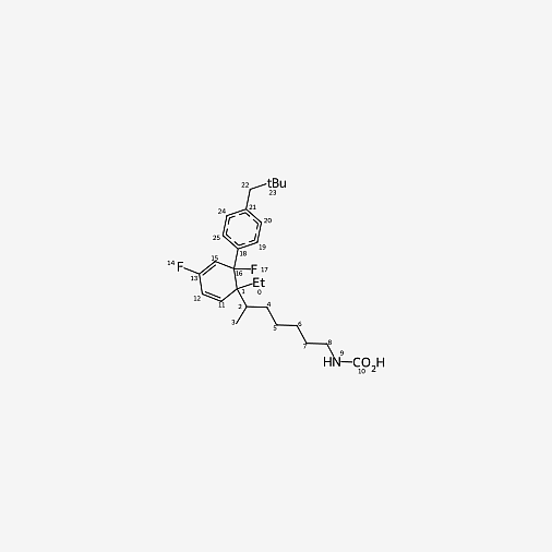 CCC1(C(C)CCCCCNC(=O)O)C=CC(F)=CC1(F)c1ccc(CC(C)(C)C)cc1